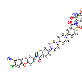 N#Cc1ccc(OC2CCC(NC(=O)c3ccc(N4CCN(C5CCN(c6ccc7c(c6)C(=O)N(C6CCC(=O)NC6=O)C7=O)CC5)CC4)cc3)CC2)cc1Cl